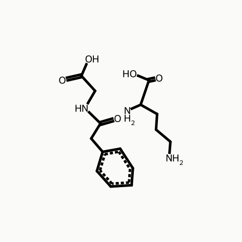 NCCCC(N)C(=O)O.O=C(O)CNC(=O)Cc1ccccc1